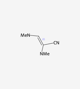 CN/C=C(/C#N)NC